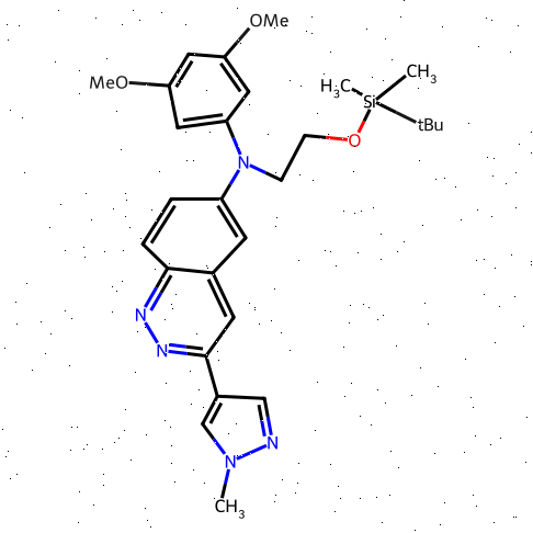 COc1cc(OC)cc(N(CCO[Si](C)(C)C(C)(C)C)c2ccc3nnc(-c4cnn(C)c4)cc3c2)c1